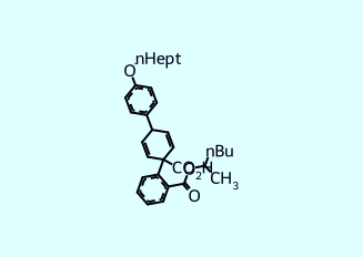 CCCCCCCOc1ccc(C2C=CC(C(=O)O)(c3ccccc3C(=O)OC(C)CCCC)C=C2)cc1